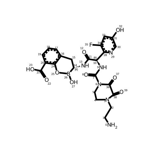 NCCN1CCN(C(=O)N[C@@H](C(=O)N[C@H]2Cc3cccc(C(=O)O)c3OB2O)c2ncc(O)cc2F)C(=O)C1=O